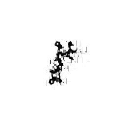 CC(C)[C@H](NC(=O)[C@H](CS)NC(=O)[C@H](Cc1c[nH]c2ccccc12)NC(=O)[C@H](CCCCN)NC(=O)[C@H](Cc1c[nH]cn1)NC(=O)[C@@H](N)CS)C(=O)N[C@@H](CCCNC(=N)N)C(=O)N[C@@H](Cc1c[nH]c2ccccc12)C(=O)O